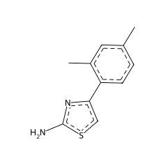 Cc1ccc(-c2csc(N)n2)c(C)c1